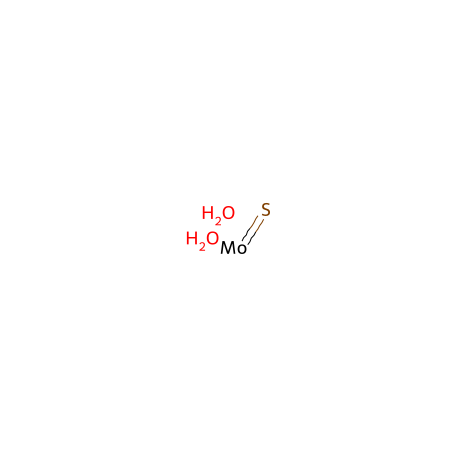 O.O.[S]=[Mo]